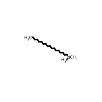 CCCCCCCCCCCCCCCCC=CN(C)C